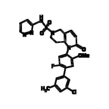 COc1cc(-c2cc(C)cc(Cl)c2)c(F)cc1-n1c2c(ccc1=O)CN(S(=O)(=O)Nc1cccnn1)CC2